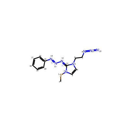 CSn1ccn(CCN=[N+]=[N-])/c1=N/N=N/c1ccccc1